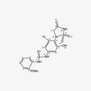 COc1ccccc1NC(=O)Nc1cc(O)c(N2CC(=O)NS2(=O)=O)c(F)c1